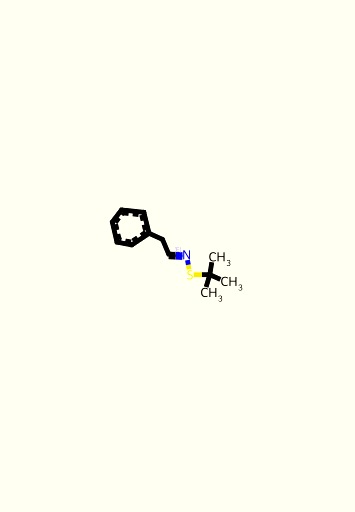 CC(C)(C)S/N=C/Cc1ccccc1